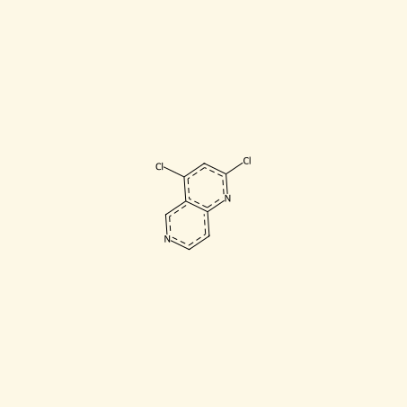 Clc1cc(Cl)c2cnccc2n1